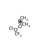 Cc1ccn(-c2cc(-c3cc(Cl)cc(C(F)(F)F)c3)ccc2C)n1